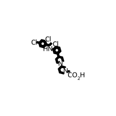 CC(Nc1cc(C2CCN([C@@H]3CCCN(CC(=O)O)C3)CC2)ccc1Cl)c1ccc(Cl)cc1Cl